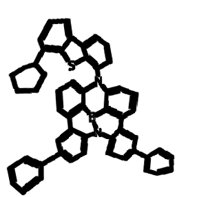 c1ccc(-c2ccc3c(c2)-c2cccc4c2B2c5c(cccc5N4c4cccc5c4sc4c(C6CCCCC6)cccc45)-c4cc(-c5ccccc5)ccc4N23)cc1